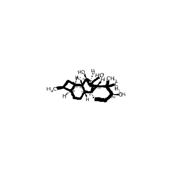 C=C1C[C@@H]2[C@H]1CC[C@H]1[C@]34C=C[C@H](O)C(C)(C)[C@H]3[C@H](O)[C@@](O)(OC4)[C@@]21C(C)=O